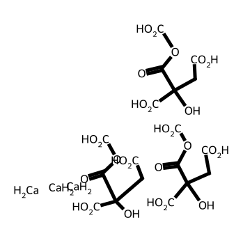 O=C(O)CC(O)(C(=O)O)C(=O)OC(=O)O.O=C(O)CC(O)(C(=O)O)C(=O)OC(=O)O.O=C(O)CC(O)(C(=O)O)C(=O)OC(=O)O.[CaH2].[CaH2].[CaH2]